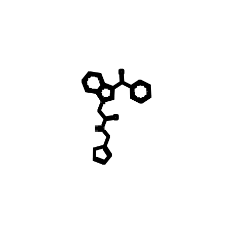 O=C(Cn1cc(C(=O)c2ccccc2)c2ccccc21)NCC1=CC=CC1